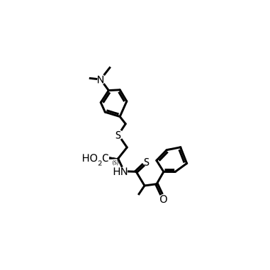 CC(C(=O)c1ccccc1)C(=S)N[C@H](CSCc1ccc(N(C)C)cc1)C(=O)O